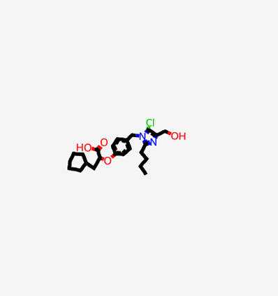 CCCCc1nc(CO)c(Cl)n1Cc1ccc(OC(CC2CCCCC2)C(=O)O)cc1